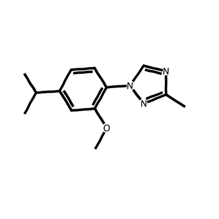 COc1cc(C(C)C)ccc1-n1cnc(C)n1